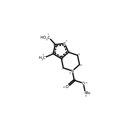 Cc1c(C(=O)O)sc2c1CN(C(=O)OC(C)(C)C)CC2